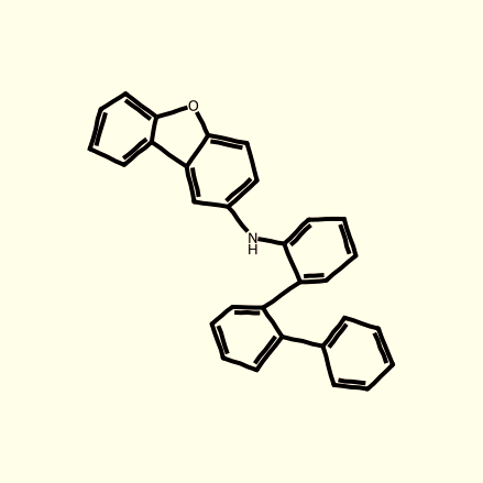 c1ccc(-c2ccccc2-c2ccccc2Nc2ccc3oc4ccccc4c3c2)cc1